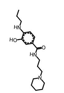 CCCNc1ccc(C(=O)NCCCN2CCCCC2)cc1O